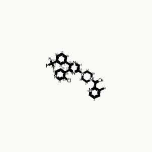 Cc1cccnc1C(=O)N1CCN(c2cnc(-c3cccc(C(F)(F)F)c3)c(-c3ccncc3Cl)n2)CC1